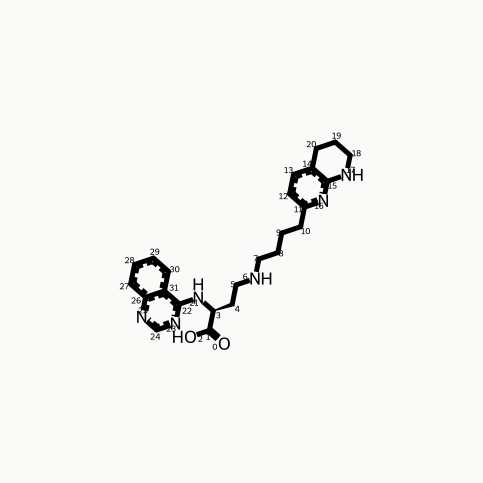 O=C(O)[C@H](CCNCCCCc1ccc2c(n1)NCCC2)Nc1ncnc2ccccc12